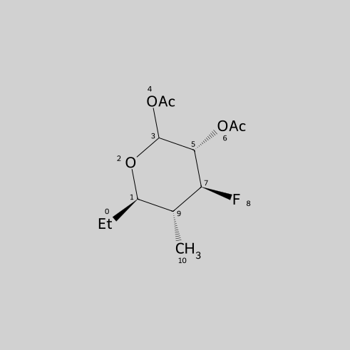 CC[C@H]1OC(OC(C)=O)[C@H](OC(C)=O)[C@@H](F)[C@@H]1C